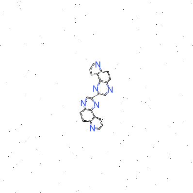 c1cnc2ccc3ncc(-c4cnc5ccc6ncccc6c5n4)nc3c2c1